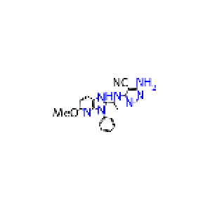 COc1ccc2nc(C(C)Nc3ncnc(N)c3C#N)n(-c3ccccc3)c2n1